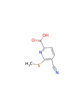 CSc1nc(C(=O)O)ccc1C#N